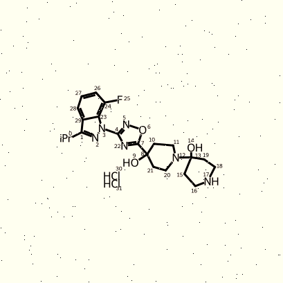 CC(C)c1nn(-c2noc(C3(O)CCN(C4(O)CCNCC4)CC3)n2)c2c(F)cccc12.Cl.Cl